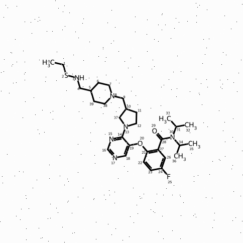 CCSNCC1CCN(CC2CCN(c3ncncc3Oc3ccc(F)cc3C(=O)N(C(C)C)C(C)C)C2)CC1